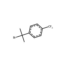 CC(C)(Br)c1ccc(C(F)(F)F)cc1